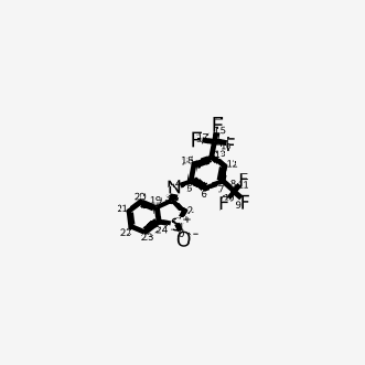 [O-][S+]1CC(=Nc2cc(C(F)(F)F)cc(C(F)(F)F)c2)c2ccccc21